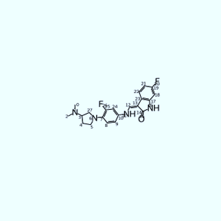 CN(C)C1CCN(c2ccc(N/C=C3\C(=O)Nc4cc(F)ccc43)cc2F)C1